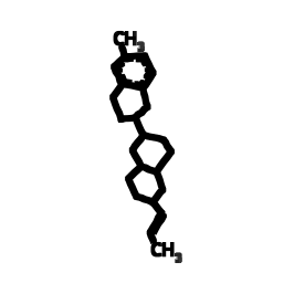 CC=CC1CCC2CC(C3CCc4cc(C)ccc4C3)CCC2C1